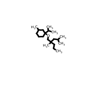 CCCC(C)([CH]C(C)C)COC1(C(C)C)CCCC(C)C1